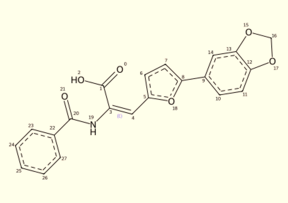 O=C(O)/C(=C\c1ccc(-c2ccc3c(c2)OCO3)o1)NC(=O)c1ccccc1